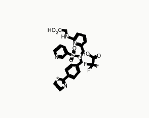 O=C(O)C(F)(F)F.O=C(O)CNc1cccc(CN(Cc2ccc(-c3nccs3)cc2)S(=O)(=O)c2cccnc2)n1